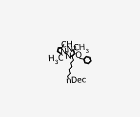 CCCCCCCCCCCCCCCCc1nc(-n2c(C)ccc2C)nc(C)c1OCc1ccccc1